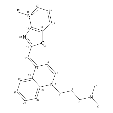 CN(C)CCCN1C=C/C(=C\c2nc3c(ccc[n+]3C)o2)c2ccccc21